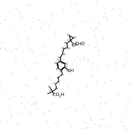 CC(C)(CCCCCc1ccc(CCCCCC2(OC=O)CC2)cc1O)C(=O)O